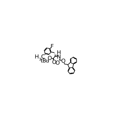 Cc1ccc(F)c(C[C@H](NC(=O)OCC2c3ccccc3-c3ccccc32)C(=O)OC(C)(C)C)c1